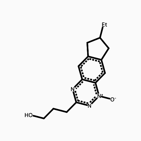 CCC1Cc2cc3nc(CCCO)n[n+]([O-])c3cc2C1